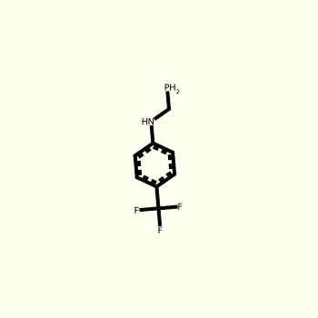 FC(F)(F)c1ccc(NCP)cc1